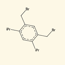 CC(C)c1cc(C(C)C)c(CBr)cc1CBr